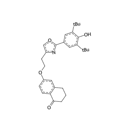 CC(C)(C)c1cc(-c2nc(CCOc3ccc4c(c3)CCCC4=O)co2)cc(C(C)(C)C)c1O